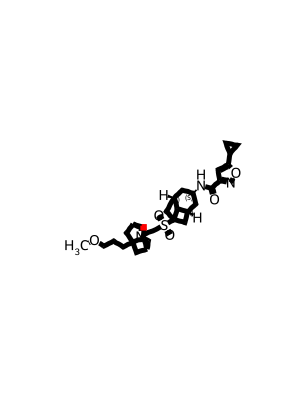 COCCCC12CC3CC1C(CN(S(=O)(=O)C14C[C@H]5C[C@@H](NC(=O)c6cc(C7CC7)on6)C[C@@H](C1)C54)C3)C2